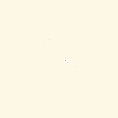 O=C(Nc1ccc(C(F)(C(F)(F)F)C(F)(F)F)cc1)c1ccccc1Cl